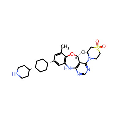 Cc1cc([C@H]2CC[C@@H](C3CCNCC3)CC2)cc2c1O[C@H](C)c1c(ncnc1N1CCS(=O)(=O)CC1)N2